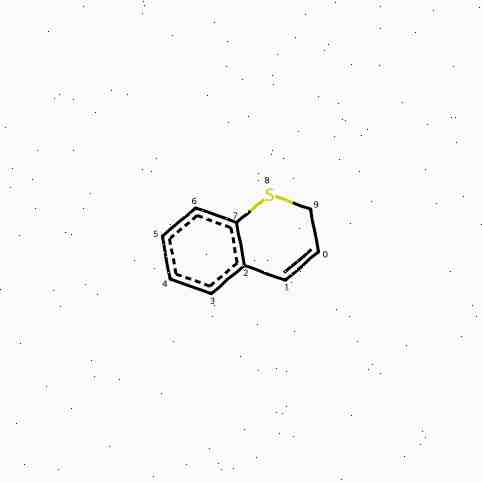 C1=Cc2ccccc2SC1